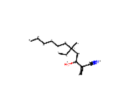 C=C(C#N)C(O)CC(C)(CC)CCCCCC